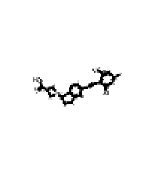 Cc1cc(Cl)c(C#Cc2ccc3c(c2)CCC3N2CC(C(=O)O)C2)c(Cl)c1